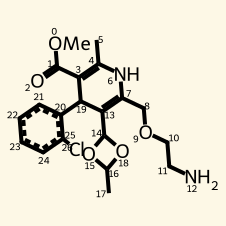 COC(=O)C1=C(C)NC(COCCN)=C(C2OC(C)O2)C1c1ccccc1Cl